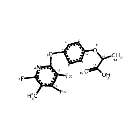 Cc1c(F)nc(Oc2ccc(OC(C)C(=O)O)cc2)c(F)c1F